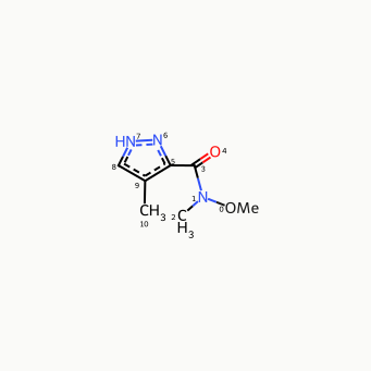 CON(C)C(=O)c1n[nH]cc1C